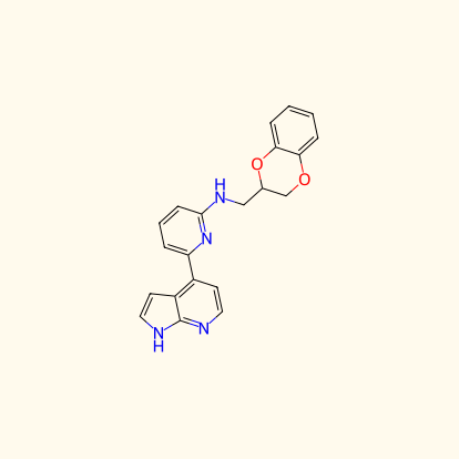 c1cc(NCC2COc3ccccc3O2)nc(-c2ccnc3[nH]ccc23)c1